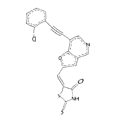 O=C1NC(=S)S/C1=C/c1cc2cncc(C#Cc3ccccc3Cl)c2o1